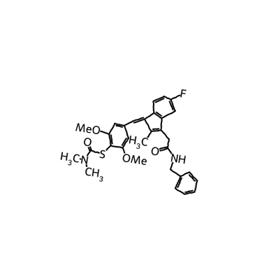 COc1cc(C=C2C(C)=C(CC(=O)NCc3ccccc3)c3cc(F)ccc32)cc(OC)c1SC(=O)N(C)C